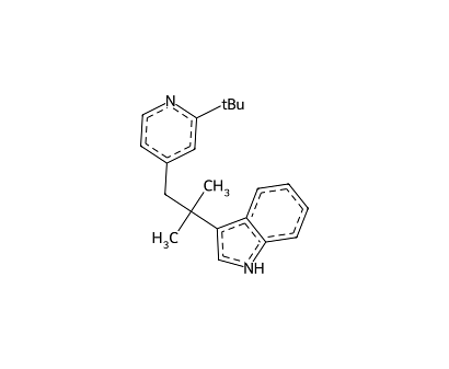 CC(C)(C)c1cc(CC(C)(C)c2c[nH]c3ccccc23)ccn1